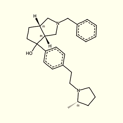 C[C@H]1CCCN1CCc1ccc(C2(O)CC[C@@H]3CN(Cc4ccccc4)C[C@@H]32)cc1